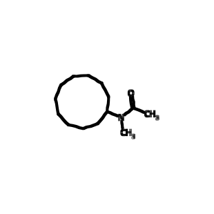 CC(=O)N(C)C1CCCCCCCCCC1